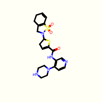 O=C(Nc1cnccc1N1CCNCC1)C1=CCC(N2CC3=C(C=CCC3)S2(=O)=O)S1